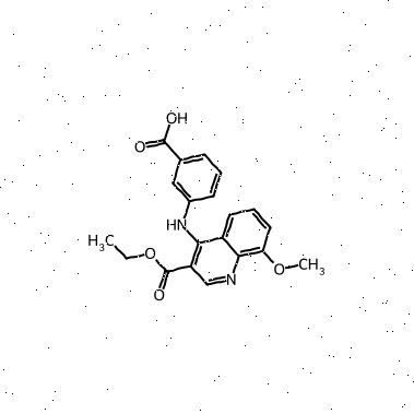 CCOC(=O)c1cnc2c(OC)cccc2c1Nc1cccc(C(=O)O)c1